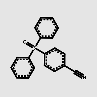 N#Cc1ccc([S+](=O)(c2ccccc2)c2ccccc2)cc1